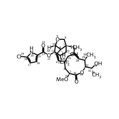 CO[C@H]1C[C@@H](/C=C\[C@@H]2[C@@H]3CO[C@H]2[C@H](OC(=O)c2ccc(Cl)[nH]2)[C@H](C)[C@H]3O)C/C(C)=C/[C@@H](C)[C@@H]([C@@H](C)O)OC1=O